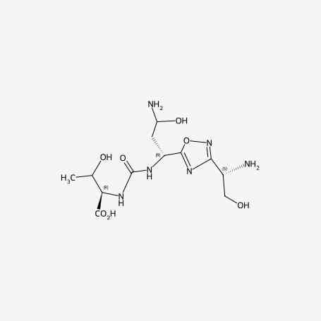 CC(O)[C@@H](NC(=O)N[C@H](CC(N)O)c1nc([C@H](N)CO)no1)C(=O)O